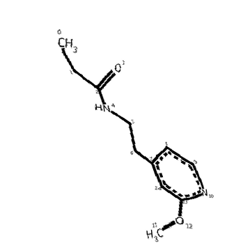 CCC(=O)NCCc1ccnc(OC)c1